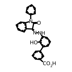 O=C(O)c1cccc(-c2cccc(N/N=C3\C(=O)N(c4ccccc4)c4ccccc43)c2O)c1